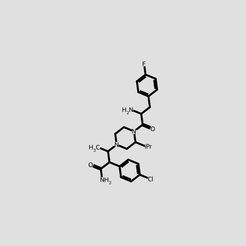 CC(C)C1CN(C(C)C(C(N)=O)c2ccc(Cl)cc2)CCN1C(=O)C(N)Cc1ccc(F)cc1